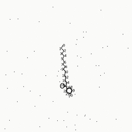 CCCCCCCCCCCCCCCC(=O)c1cc[c]cc1